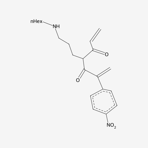 C=CC(=O)C(CCCNCCCCCC)C(=O)C(=C)c1ccc([N+](=O)[O-])cc1